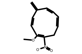 C=C1/C=C\C=C/C/C([N+](=O)[O-])=C(OC)\C=C/1